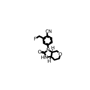 N#Cc1ccc(N2C(=O)N[C@H]3CCOC[C@@H]32)cc1CF